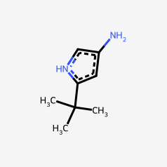 CC(C)(C)c1cc(N)c[nH]1